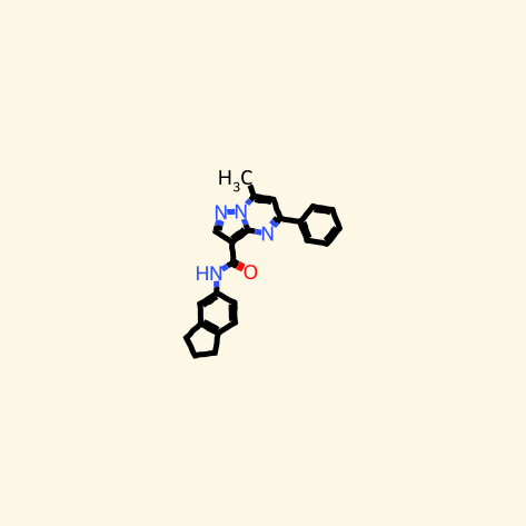 Cc1cc(-c2ccccc2)nc2c(C(=O)Nc3ccc4c(c3)CCC4)cnn12